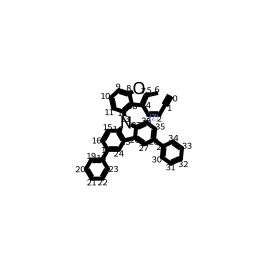 C#C/C=C\c1c(C)oc2cccc(-n3c4ccc(-c5ccccc5)cc4c4cc(-c5ccccc5)ccc43)c12